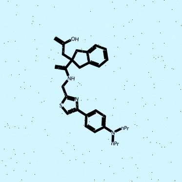 C=C(O)CC1(C(=C)NCc2nc(-c3ccc(N(CCC)CCC)cc3)cs2)Cc2ccccc2C1